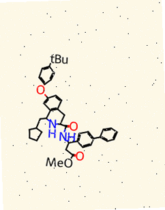 COC(=O)CC(NC(=O)C1Cc2ccc(Oc3ccc(C(C)(C)C)cc3)cc2C(CC2CCCC2)N1)c1ccc(-c2ccccc2)cc1